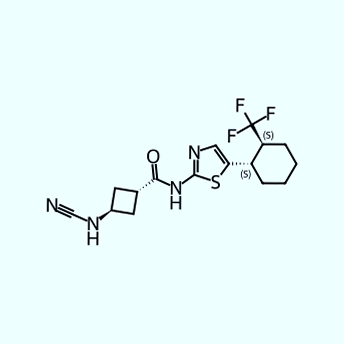 N#CN[C@H]1C[C@H](C(=O)Nc2ncc([C@H]3CCCC[C@@H]3C(F)(F)F)s2)C1